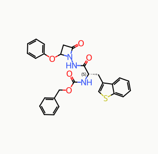 O=C(N[C@@H](Cc1csc2ccccc12)C(=O)NN1C(=O)CC1Oc1ccccc1)OCc1ccccc1